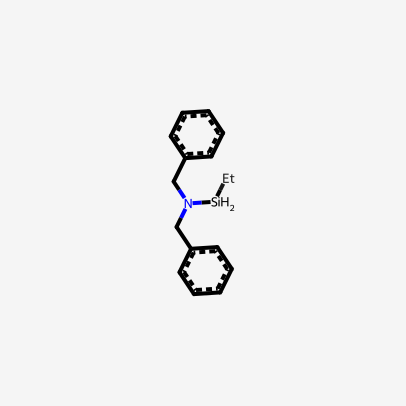 CC[SiH2]N(Cc1ccccc1)Cc1ccccc1